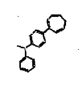 CN(c1ccccc1)c1ccc(C2=CC=CCC=C2)cc1